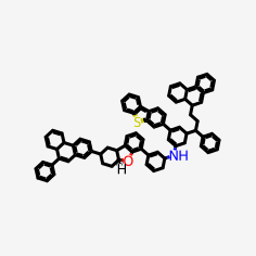 C1=CC2=c3ccccc3=CC(CCC(c3ccccc3)C3C=C(c4ccc5c(c4)sc4ccccc45)C=C(NC4C=C(c5cccc6c5O[C@@H]5CCC(c7ccc8c(c7)C=C(c7ccccc7)C7C=CC=CC87)CC65)C=CC4)C3)C2C=C1